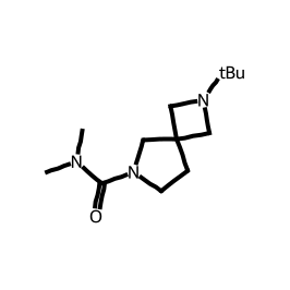 CN(C)C(=O)N1CCC2(C1)CN(C(C)(C)C)C2